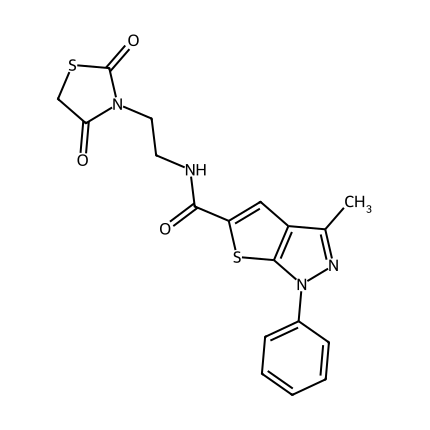 Cc1nn(-c2ccccc2)c2sc(C(=O)NCCN3C(=O)CSC3=O)cc12